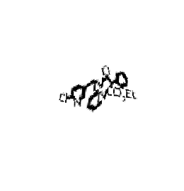 CCOC(=O)C(C(=O)N(Cc1ccc(Cl)nc1)c1ccccn1)c1ccccc1